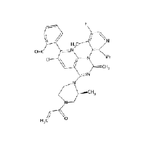 C=CC(=O)N1CCN(C2=NC(=C)N(c3c(C(C)C)ncc(F)c3C)c3nc(-c4ccccc4C=O)c(Cl)cc32)[C@@H](C)C1